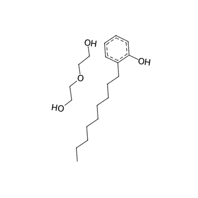 CCCCCCCCCc1ccccc1O.OCCOCCO